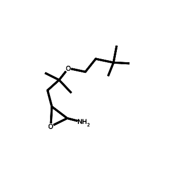 CC(C)(C)CCOC(C)(C)CC1OC1N